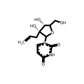 C=CC[C@]1(O)C(n2ccc(=O)[nH]c2=O)OC(CO)[C@H]1O